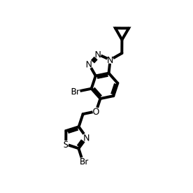 Brc1nc(COc2ccc3c(nnn3CC3CC3)c2Br)cs1